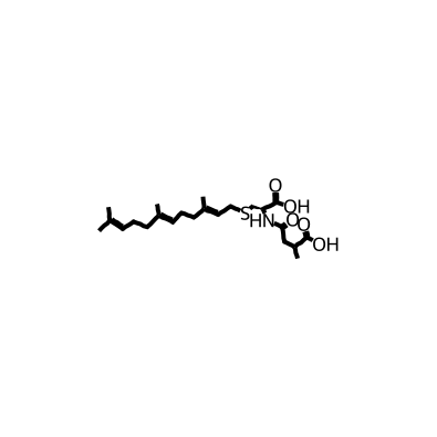 CC(C)=CCC/C(C)=C/CC/C(C)=C/CSC[C@H](NC(=O)CC(C)C(=O)O)C(=O)O